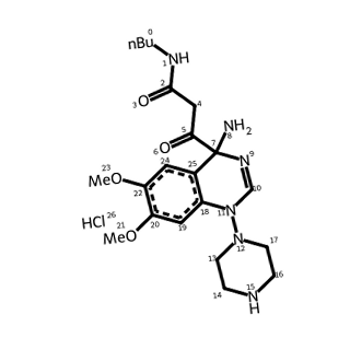 CCCCNC(=O)CC(=O)C1(N)N=CN(N2CCNCC2)c2cc(OC)c(OC)cc21.Cl